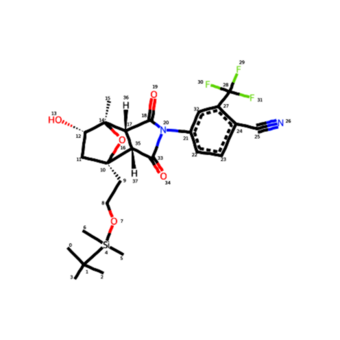 CC(C)(C)[Si](C)(C)OCC[C@]12C[C@H](O)[C@](C)(O1)[C@@H]1C(=O)N(c3ccc(C#N)c(C(F)(F)F)c3)C(=O)[C@@H]12